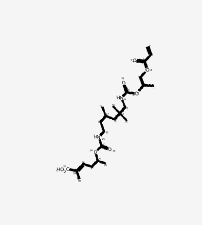 C=CC(=O)OCC(C)OC(=O)NCC(C)(C)CC(C)CCNC(=O)OC(C)CC=C(C)C(=O)O